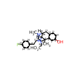 CN1CC[C@@]2(C)c3cc(O)ccc3C[C@@H]1[C@@H]2N(CCc1ccc(F)cc1)CC(=O)O